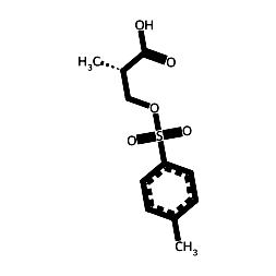 Cc1ccc(S(=O)(=O)OC[C@H](C)C(=O)O)cc1